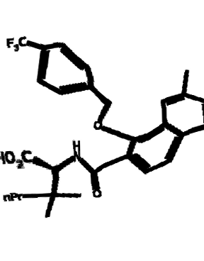 CCCC(C)(C)[C@H](NC(=O)c1ccc2ccc(C)cc2c1OCc1ccc(C(F)(F)F)cc1)C(=O)O